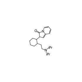 CC(C)N(CCC1CCCCC1C1C=C2C=CC=CN2C1=O)C(C)C